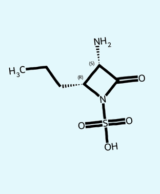 CCC[C@@H]1[C@H](N)C(=O)N1S(=O)(=O)O